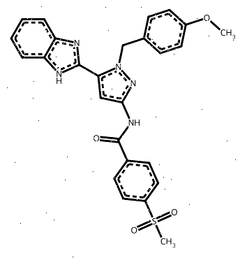 COc1ccc(Cn2nc(NC(=O)c3ccc(S(C)(=O)=O)cc3)cc2-c2nc3ccccc3[nH]2)cc1